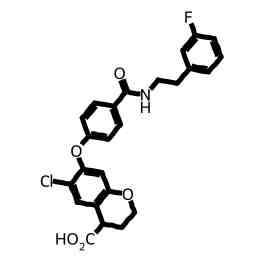 O=C(NCCc1cccc(F)c1)c1ccc(Oc2cc3c(cc2Cl)C(C(=O)O)CCO3)cc1